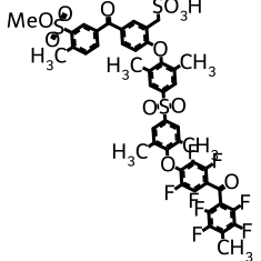 COS(=O)(=O)c1cc(C(=O)c2ccc(Oc3c(C)cc(S(=O)(=O)c4cc(C)c(Oc5c(F)c(F)c(C(=O)c6c(F)c(F)c(C)c(F)c6F)c(F)c5F)c(C)c4)cc3C)c(CS(=O)(=O)O)c2)ccc1C